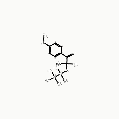 CSc1ccc(C(=O)C(C)(C)O[Si](C)(C)[Si](C)(C)C)cc1